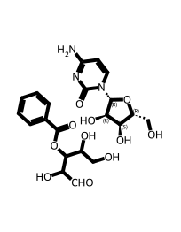 Nc1ccn([C@@H]2O[C@H](CO)[C@@H](O)[C@H]2O)c(=O)n1.O=CC(O)C(OC(=O)c1ccccc1)C(O)CO